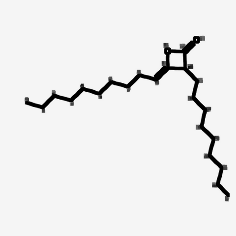 CCCCCCCCC/C=C1\OC(=O)C1CCCCCCCCC